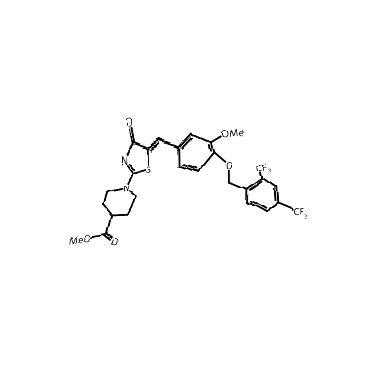 COC(=O)C1CCN(C2=NC(=O)/C(=C/c3ccc(OCc4ccc(C(F)(F)F)cc4C(F)(F)F)c(OC)c3)S2)CC1